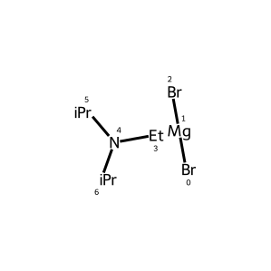 [Br][Mg][Br].[CH2]CN(C(C)C)C(C)C